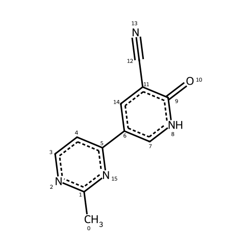 Cc1nccc(-c2c[nH]c(=O)c(C#N)c2)n1